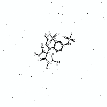 CCCN(c1ccc(NS(C)(=O)=O)cc1S(N)(=O)=O)[C@](CCO)(C(=O)CC)C(=O)OC